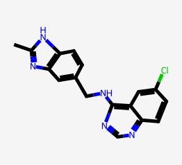 Cc1nc2cc(CNc3ncnc4ccc(Cl)cc34)ccc2[nH]1